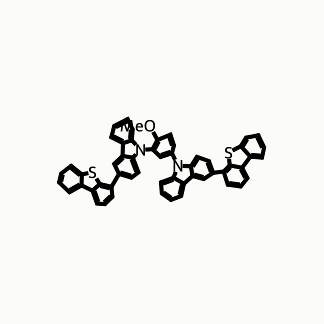 COc1ccc(-n2c3ccccc3c3cc(-c4cccc5c4sc4ccccc45)ccc32)cc1-n1c2ccccc2c2cc(-c3cccc4c3sc3ccccc34)ccc21